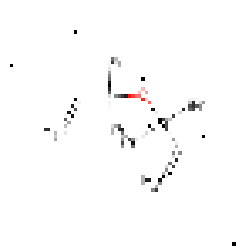 C=C[Si](O[Si](C=C)(C(C)C)C(C)C)(C(C)C)C(C)C